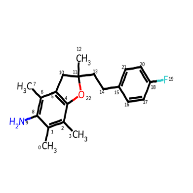 Cc1c(C)c2c(c(C)c1N)CC(C)(CCc1ccc(F)cc1)O2